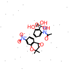 CC(=O)Nc1cccc(O)c1[As](=O)(O)O.CC1(C)Oc2cc([N+](=O)[O-])ccc2C2OC21